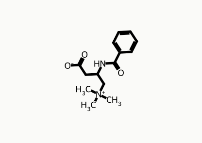 C[N+](C)(C)CC(CC(=O)[O-])NC(=O)c1ccccc1